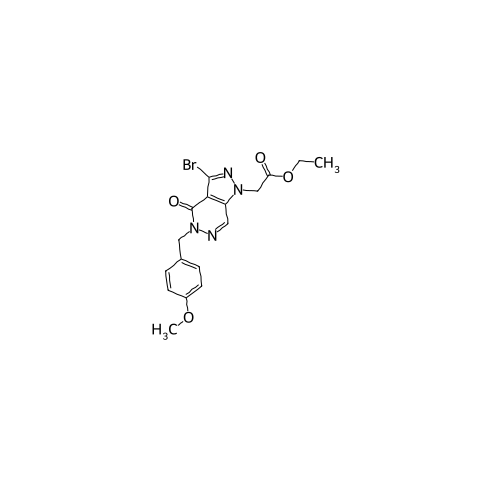 CCOC(=O)Cn1nc(Br)c2c(=O)n(Cc3ccc(OC)cc3)ncc21